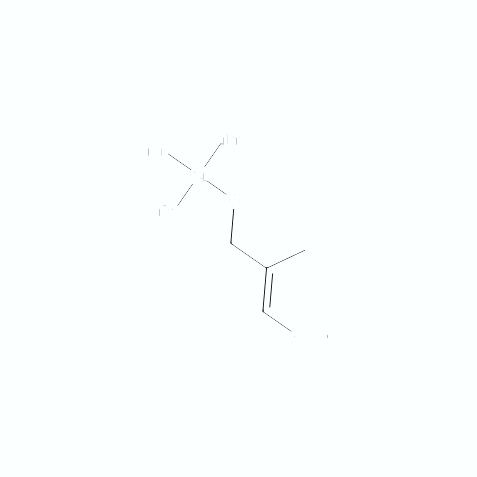 C/C(=C\C=O)CO[Si](C(C)C)(C(C)C)C(C)C